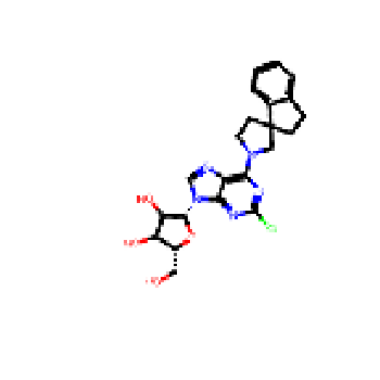 OC[C@H]1O[C@@H](n2cnc3c(N4CCC5(CCc6ccccc65)C4)nc(Cl)nc32)C(O)C1O